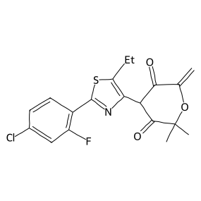 C=C1OC(C)(C)C(=O)C(c2nc(-c3ccc(Cl)cc3F)sc2CC)C1=O